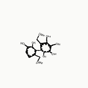 COCc1ccc(O)c(O)c1-c1c(O)c(O)c(O)c(O)c1COC